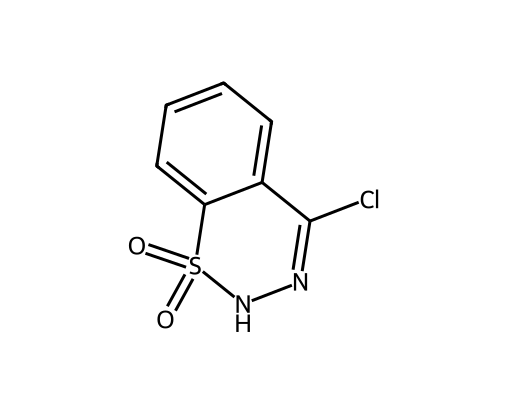 O=S1(=O)NN=C(Cl)c2ccccc21